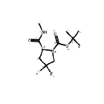 CNC(=O)[C@@H]1CC(F)(F)CN1C(=O)OC(C)(C)C